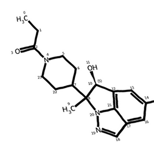 CCC(=O)N1CCC(C2(C)[C@@H](O)c3cc(Cl)cc4cnn2c34)CC1